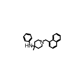 CC1(Nc2ccccc2)CCN(Cc2cccc3ccccc23)CC1